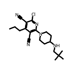 CCCc1c(C#N)c(Cl)nc(N2CCC(NCC(C)(C)C)CC2)c1C#N